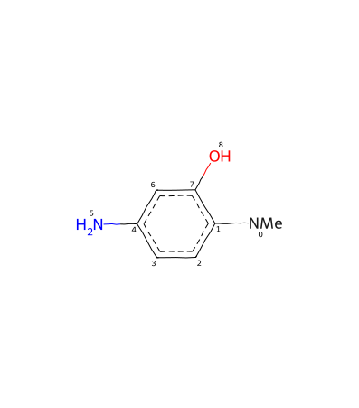 CNc1ccc(N)cc1O